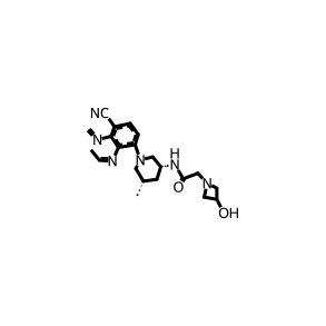 C=Nc1c(C#N)ccc(N2C[C@@H](C)C[C@@H](NC(=O)CN3CC(O)C3)C2)c1/N=C\C